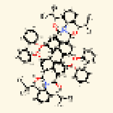 CCC(CC)Cc1cccc(CC(CC)CC)c1N1C(=O)c2cc(Oc3ccccc3)c3c4c(Oc5ccccc5)cc5c6c(cc(Oc7ccccc7)c(c7c(Oc8ccccc8)cc(c2c37)C1=O)c64)C(=O)N(c1c(CC(CC)CC)cccc1CC(CC)CC)C5=O